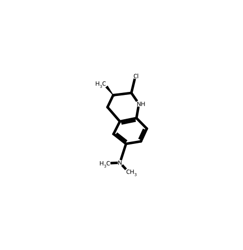 C[C@@H]1Cc2cc(N(C)C)ccc2NC1Cl